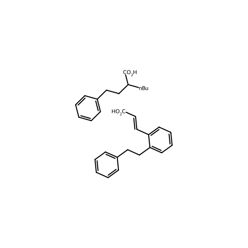 CCCCC(CCc1ccccc1)C(=O)O.O=C(O)/C=C/c1ccccc1CCc1ccccc1